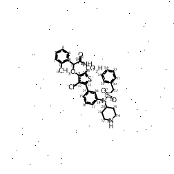 Cc1ccccc1C(Oc1c(C(=O)O)sc(-c2cccc(N(C3CCNCC3)S(=O)(=O)Cc3ccccc3)c2)c1Cl)C(N)=O